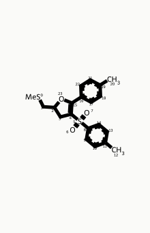 CSCC1CC(S(=O)(=O)c2ccc(C)cc2)=C(c2ccc(C)cc2)O1